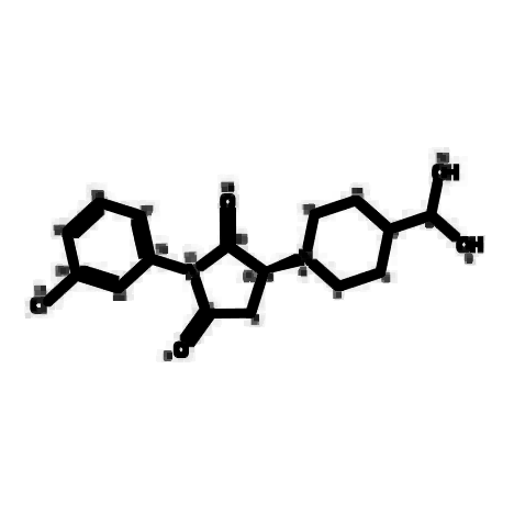 O=C1C[C@H](N2CCC(C(O)O)CC2)C(=O)N1c1cccc(Cl)c1